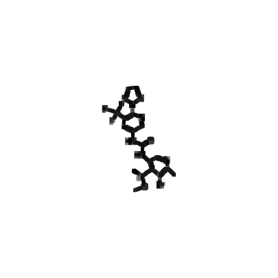 CO[C@@H](C)c1c(NC(=O)Nc2cnc(-n3nccn3)c(C(F)(F)F)c2)cnc(C)c1Br